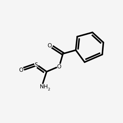 NC(OC(=O)c1ccccc1)=S=O